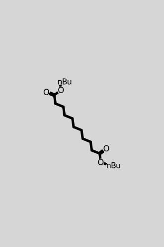 CCCCOC(=O)CCCCCCCCCC(=O)OCCCC